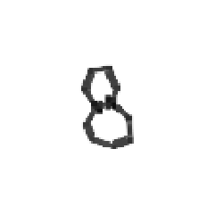 C1=CCN2C=CC=CN2C=C1